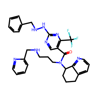 O=C(c1cnc(NNCc2ccccc2)nc1C(F)(F)F)N(CCCNCc1ccccn1)C1CCCc2cccnc21